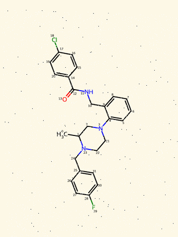 CC1CN(c2ccccc2CNC(=O)c2ccc(Cl)cc2)CCN1Cc1ccc(F)cc1